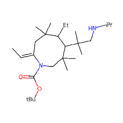 C/C=C1\CC(C)(C)C(CC)C(C(C)(C)CNC(C)C)C(C)(C)CN1C(=O)OC(C)(C)C